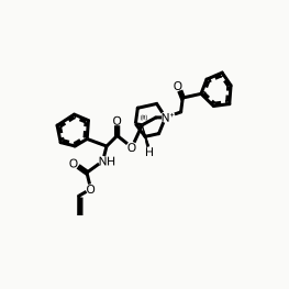 C=COC(=O)NC(C(=O)O[C@H]1C[N+]2(CC(=O)c3ccccc3)CCC1CC2)c1ccccc1